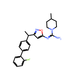 CC1CCN(/C(N)=N\c2cc(C(C)c3ccc(-c4ccccc4F)cc3)no2)CC1